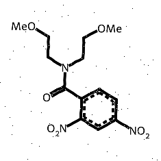 COCCN(CCOC)C(=O)c1ccc([N+](=O)[O-])cc1[N+](=O)[O-]